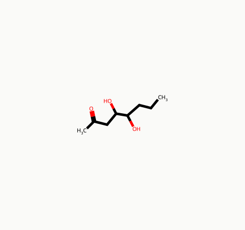 CCCC(O)C(O)CC(C)=O